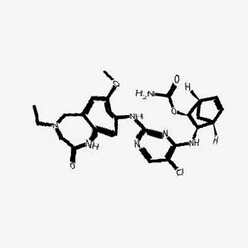 CCN1CC(=O)Nc2cc(Nc3ncc(Cl)c(N[C@H]4[C@@H](OC(N)=O)[C@@H]5C=C[C@H]4C5)n3)c(OC)cc2C1